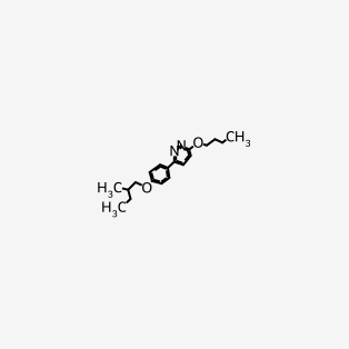 CCCCOc1ccc(-c2ccc(OCC(C)CC)cc2)nn1